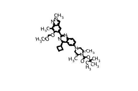 COCOc1c(-c2nc(C3CCC3)c3cc(N4C[C@H](C)N(C(=O)OC(C)(C)C)[C@@H](C)C4)ccc3n2)cc2cn(C)nc2c1C